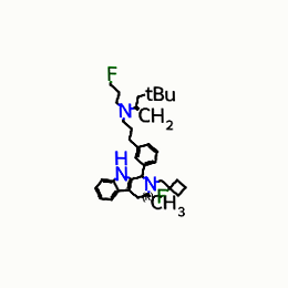 C=C(CC(C)(C)C)N(CCCF)CCCc1cccc(C2c3[nH]c4ccccc4c3C[C@@H](C)N2CC2(F)CCC2)c1